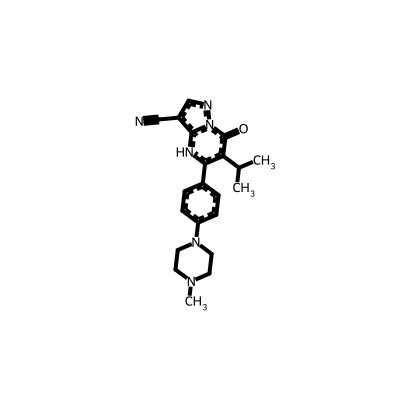 CC(C)c1c(-c2ccc(N3CCN(C)CC3)cc2)[nH]c2c(C#N)cnn2c1=O